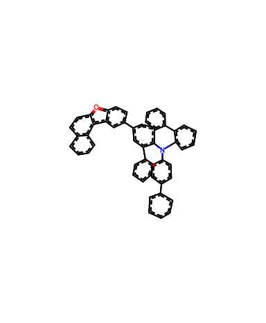 c1ccc(-c2ccc(N(c3ccccc3-c3ccccc3)c3ccc(-c4ccc5oc6ccc7ccccc7c6c5c4)cc3-c3ccccc3)cc2)cc1